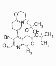 Cc1nc(C=O)c(Br)c(-c2ccc3c(c2)CCCO3)c1[C@H](OC(C)(C)C)C(=O)OC(C)C